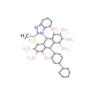 Bc1c(B)c(B)c2c(-n3c(CC)nc4ccccc43)c3c(B)c(B)c(B)c(B)c3c(-c3ccc(-c4ccccc4)cc3)c2c1B